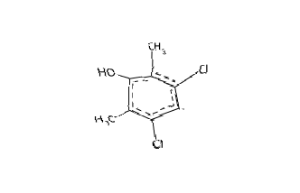 Cc1c(Cl)[c]c(Cl)c(C)c1O